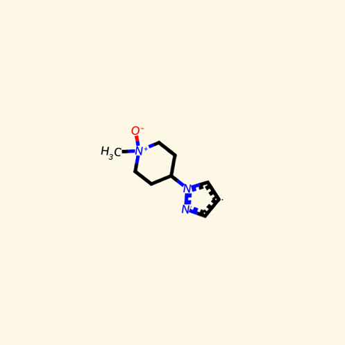 C[N+]1([O-])CCC(n2c[c]cn2)CC1